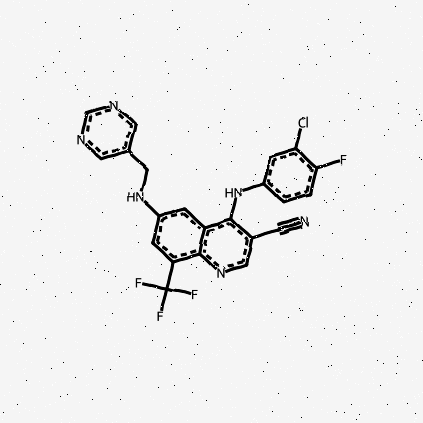 N#Cc1cnc2c(C(F)(F)F)cc(NCc3cncnc3)cc2c1Nc1ccc(F)c(Cl)c1